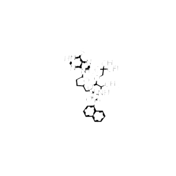 CC(NP(=O)(OCC1CCC(n2cnc3c(=S)[nH]cnc32)O1)Oc1cccc2ccccc12)C(=O)OCC(C)(C)C